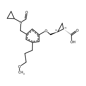 COCCCc1cc(CN(C=O)C2CC2)cc(OC[C@H]2C[C@@H]2C(=O)O)c1